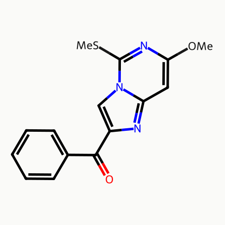 COc1cc2nc(C(=O)c3ccccc3)cn2c(SC)n1